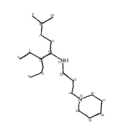 CCC(CC)C(CCC(C)C)NCCCN1CCCCC1